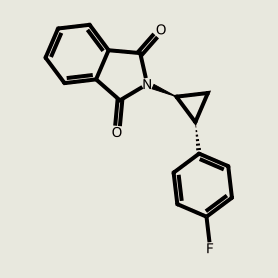 O=C1c2ccccc2C(=O)N1[C@H]1C[C@@H]1c1ccc(F)cc1